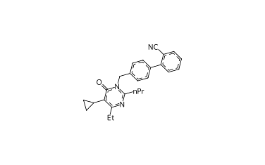 CCCc1nc(CC)c(C2CC2)c(=O)n1Cc1ccc(-c2ccccc2C#N)cc1